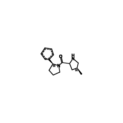 C[C@@H]1CNC(C(=O)N2CCC[C@H]2c2ccccc2)C1